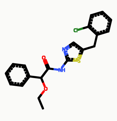 CCOC(C(=O)Nc1ncc(Cc2ccccc2Cl)s1)c1ccccc1